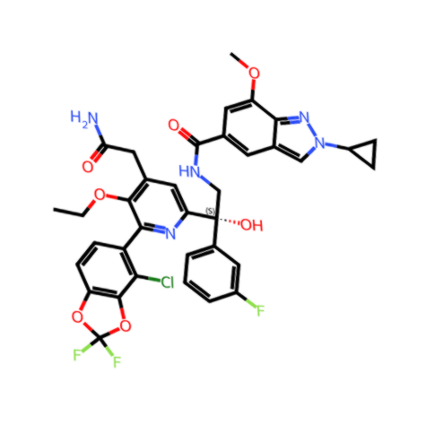 CCOc1c(CC(N)=O)cc([C@@](O)(CNC(=O)c2cc(OC)c3nn(C4CC4)cc3c2)c2cccc(F)c2)nc1-c1ccc2c(c1Cl)OC(F)(F)O2